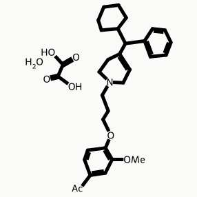 COc1cc(C(C)=O)ccc1OCCCN1CC=C(C(c2ccccc2)C2CCCCC2)CC1.O.O=C(O)C(=O)O